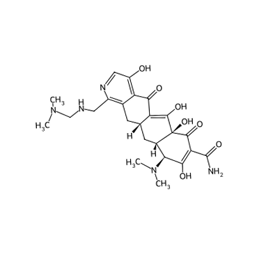 CN(C)CNCc1ncc(O)c2c1C[C@H]1C[C@H]3[C@H](N(C)C)C(O)=C(C(N)=O)C(=O)[C@@]3(O)C(O)=C1C2=O